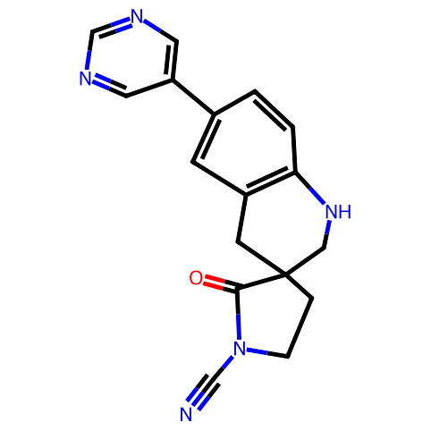 N#CN1CCC2(CNc3ccc(-c4cncnc4)cc3C2)C1=O